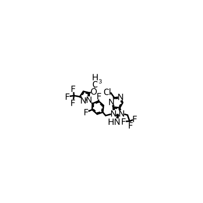 COc1cc(C(F)(F)F)nn1-c1c(F)cc(Cn2c(=N)n(CC(F)(F)F)c3cnc(Cl)nc32)cc1F